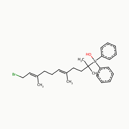 C/C(=C\CBr)CC/C=C(\C)CCC(C)(C)[Si](O)(c1ccccc1)c1ccccc1